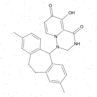 Cc1ccc2c(c1)CCc1cc(C)ccc1C2N1CNC(=O)c2c(O)c(=O)ccn21